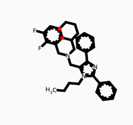 CCCCn1c(-c2ccccc2)nc(-c2ccccc2)c1CN(Cc1cccc(F)c1F)CC1CCCCC1